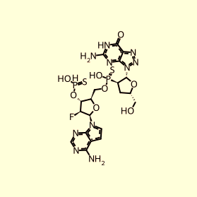 Nc1nc2c(nnn2[C@@H]2O[C@H](CO)C[C@H]2P(O)(=S)OC[C@H]2O[C@@H](n3ccc4c(N)ncnc43)[C@@H](F)[C@@H]2O[PH](O)=S)c(=O)[nH]1